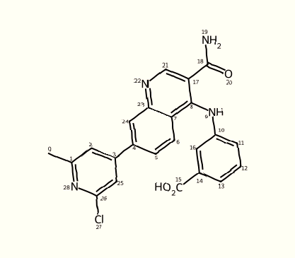 Cc1cc(-c2ccc3c(Nc4cccc(C(=O)O)c4)c(C(N)=O)cnc3c2)cc(Cl)n1